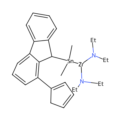 CC[N](CC)[Zr]([N](CC)CC)[Sn]([CH3])([CH3])[CH]1c2ccccc2-c2cccc(C3=CC=CC3)c21